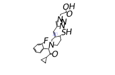 O=C(O)Cn1cc(/C=C2/CN(C(C(=O)C3CC3)c3ccccc3F)CCC2S)nn1